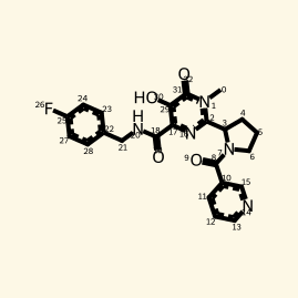 Cn1c(C2CCCN2C(=O)c2cccnc2)nc(C(=O)NCc2ccc(F)cc2)c(O)c1=O